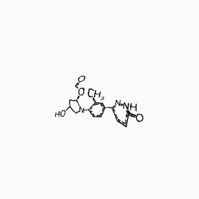 Cc1cc(-c2ccc(=O)[nH]n2)ccc1N1CC(O)C[C@H]1OC=O